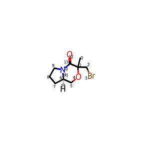 CC1(CBr)OC[C@H]2CCCN2C1=O